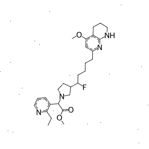 CCc1ncccc1C(C(=O)OC)N1CCC(C(F)CCCCc2cc(OC)c3c(n2)NCCC3)C1